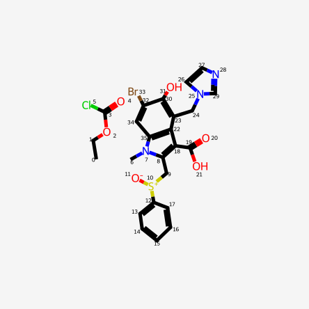 CCOC(=O)Cl.Cn1c(C[S+]([O-])c2ccccc2)c(C(=O)O)c2c(Cn3ccnc3)c(O)c(Br)cc21